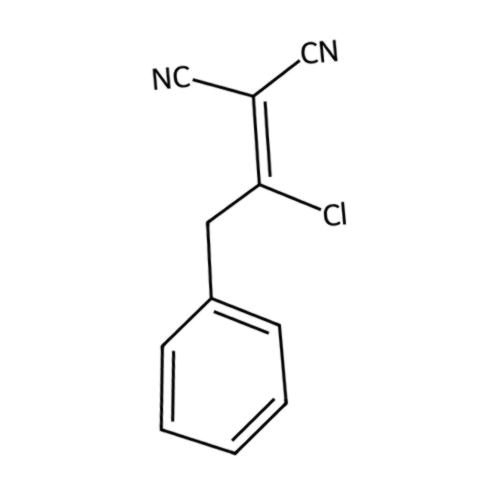 N#CC(C#N)=C(Cl)Cc1ccccc1